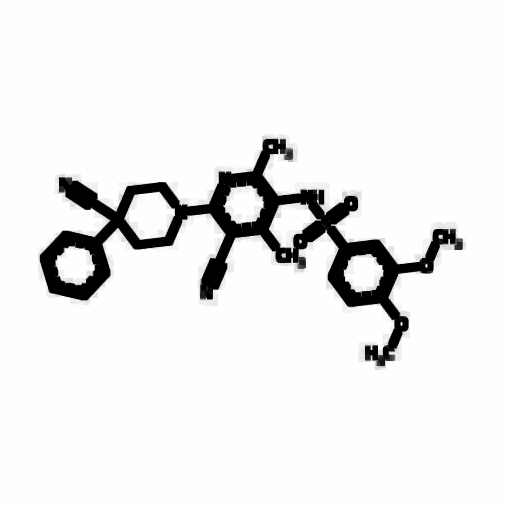 COc1ccc(S(=O)(=O)Nc2c(C)nc(N3CCC(C#N)(c4ccccc4)CC3)c(C#N)c2C)cc1OC